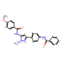 COc1ccc(C(=O)Nc2cc(-c3ccc(NC(=O)c4ccccc4)cc3)nn2C)cc1